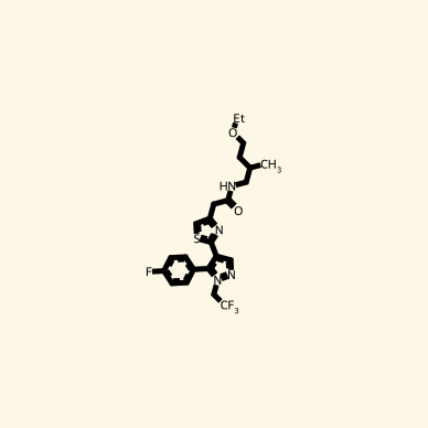 CCOCCC(C)CNC(=O)Cc1csc(-c2cnn(CC(F)(F)F)c2-c2ccc(F)cc2)n1